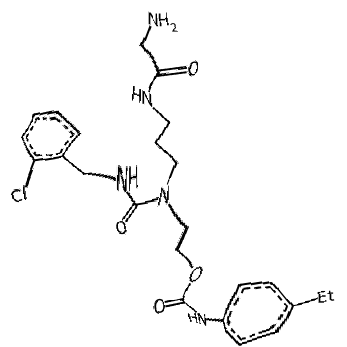 CCc1ccc(NC(=O)OCCN(CCCNC(=O)CN)C(=O)NCc2ccccc2Cl)cc1